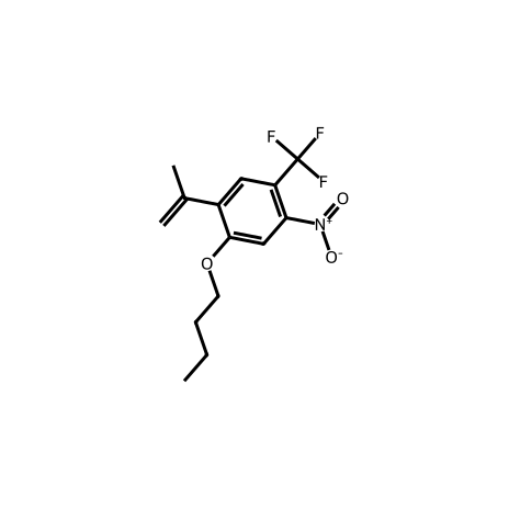 C=C(C)c1cc(C(F)(F)F)c([N+](=O)[O-])cc1OCCCC